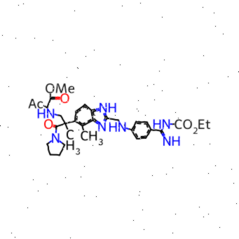 CCOC(=O)NC(=N)c1ccc(NCc2nc3c(C)c(C(C)(CNC(C(C)=O)C(=O)OC)C(=O)N4CCCC4)ccc3[nH]2)cc1